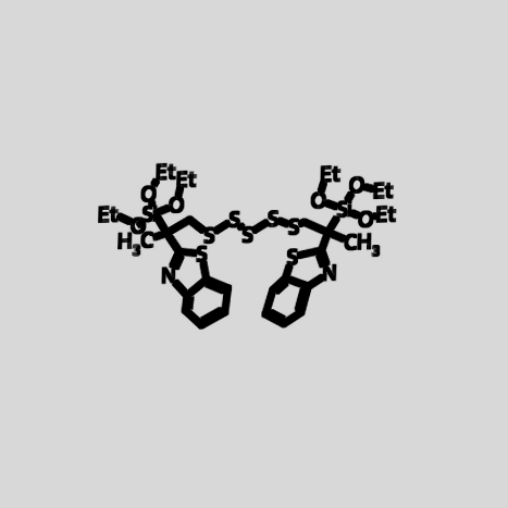 CCO[Si](OCC)(OCC)C(C)(CSSSSSCC(C)(c1nc2ccccc2s1)[Si](OCC)(OCC)OCC)c1nc2ccccc2s1